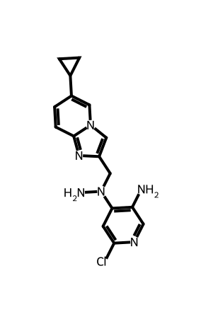 Nc1cnc(Cl)cc1N(N)Cc1cn2cc(C3CC3)ccc2n1